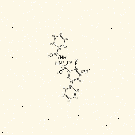 O=C(NNS(=O)(=O)c1cc(-c2ccccc2)cc(Cl)c1F)c1ccccc1